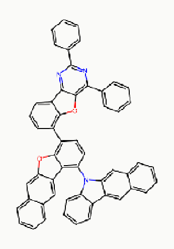 c1ccc(-c2nc(-c3ccccc3)c3oc4c(-c5ccc(-n6c7ccccc7c7cc8ccccc8cc76)c6c5oc5cc7ccccc7cc56)cccc4c3n2)cc1